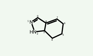 C1=NNC2CCCC=C12